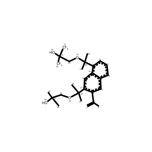 C=C(C)c1cc2cccc(C(C)(C)OCC(O)(C(F)(F)F)C(F)(F)F)c2cc1C(C)(C)OCC(C)(C)O